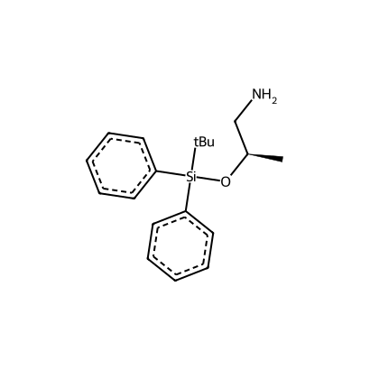 C[C@H](CN)O[Si](c1ccccc1)(c1ccccc1)C(C)(C)C